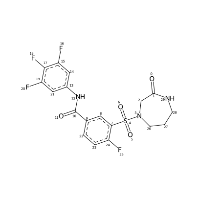 O=C1CN(S(=O)(=O)c2cc(C(=O)Nc3cc(F)c(F)c(F)c3)ccc2F)CCCN1